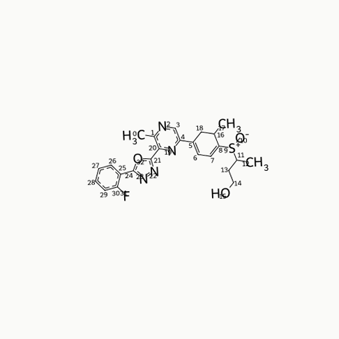 Cc1ncc(C2=CC=C([S+]([O-])C(C)CCO)C(C)C2)nc1-c1nnc(-c2ccccc2F)o1